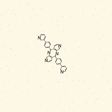 c1cncc(-c2ccc(/C3=N/c4cnccc4/C(c4ccc(-c5cccnc5)cc4)=N\c4cnccc43)cc2)c1